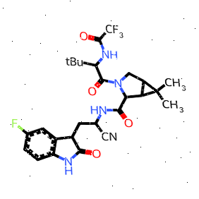 CC(C)(C)C(NC(=O)C(F)(F)F)C(=O)N1CC2C(C1C(=O)NC(C#N)CC1C(=O)Nc3ccc(F)cc31)C2(C)C